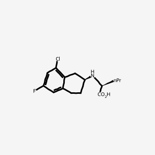 CCC[C@H](N[C@H]1CCc2cc(F)cc(Cl)c2C1)C(=O)O